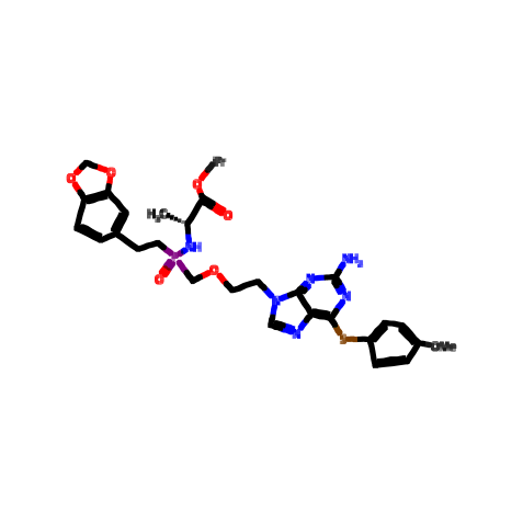 COc1ccc(Sc2nc(N)nc3c2ncn3CCOCP(=O)(CCc2ccc3c(c2)OCO3)N[C@H](C)C(=O)OC(C)C)cc1